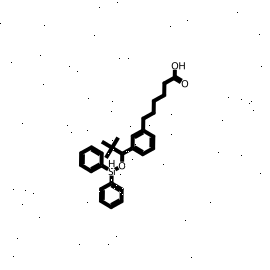 CC(C)(C)C(O[SiH](c1ccccc1)c1ccccc1)c1cccc(CCCCCC(=O)O)c1